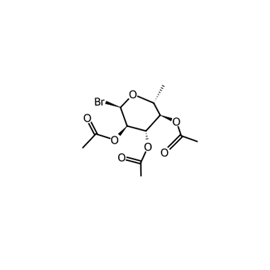 CC(=O)O[C@@H]1[C@@H](OC(C)=O)[C@@H](Br)O[C@H](C)[C@H]1OC(C)=O